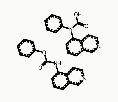 O=C(Nc1cccc2cnccc12)Oc1ccccc1.O=C(O)N(c1ccccc1)c1cccc2cnccc12